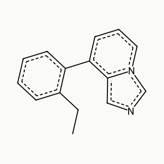 CCc1ccccc1-c1cccn2cncc12